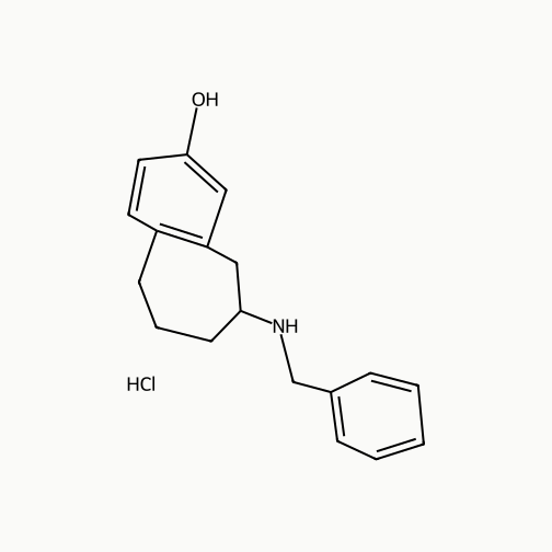 Cl.Oc1ccc2c(c1)CC(NCc1ccccc1)CCC2